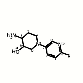 Cc1ccc(N2CCC(N)C(O)C2)cn1